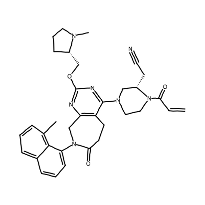 C=CC(=O)N1CCN(c2nc(OC[C@@H]3CCCN3C)nc3c2CCC(=O)N(c2cccc4cccc(C)c24)C3)C[C@@H]1CC#N